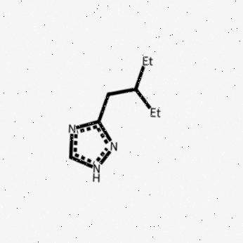 CCC(CC)Cc1nc[nH]n1